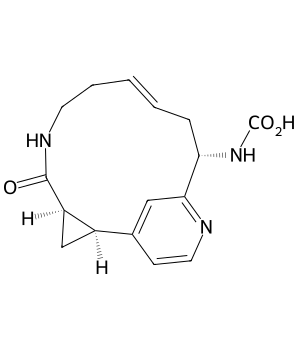 O=C(O)N[C@H]1C/C=C/CCNC(=O)[C@@H]2C[C@@H]2c2ccnc1c2